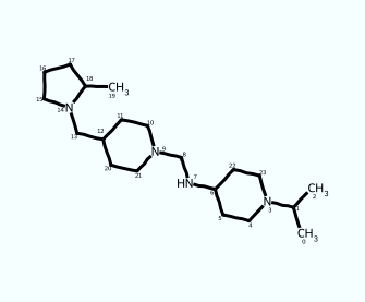 CC(C)N1CCC(N[C]N2CCC(CN3CCCC3C)CC2)CC1